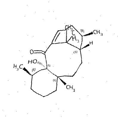 C[C@@H]1CC=C2C(=O)[C@]3(O)[C@H](C)CCC[C@@]3(C)CC[C@@H]1C2(C)C